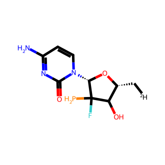 [2H]C[C@H]1O[C@@H](n2ccc(N)nc2=O)C(F)(P)C1O